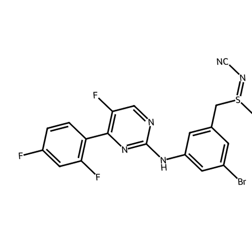 C/S(Cc1cc(Br)cc(Nc2ncc(F)c(-c3ccc(F)cc3F)n2)c1)=N/C#N